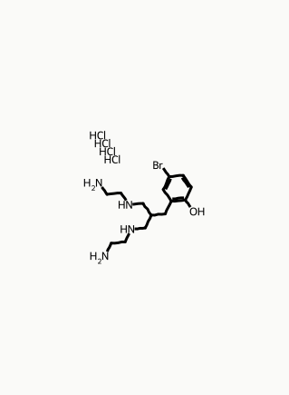 Cl.Cl.Cl.Cl.NCCNCC(CNCCN)Cc1cc(Br)ccc1O